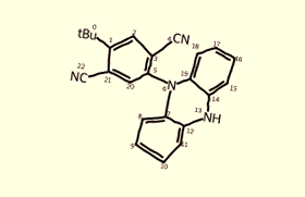 CC(C)(C)c1cc(C#N)c(N2c3ccccc3Nc3ccccc32)cc1C#N